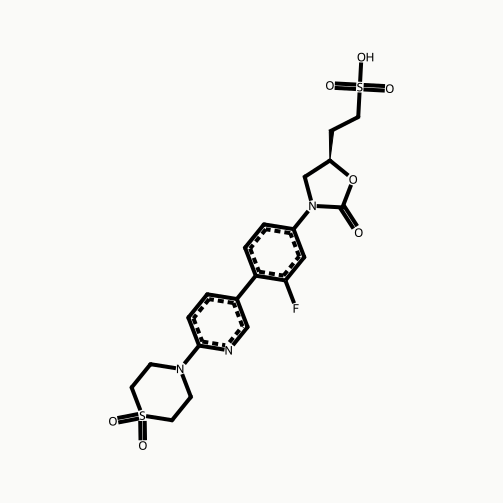 O=C1O[C@H](CCS(=O)(=O)O)CN1c1ccc(-c2ccc(N3CCS(=O)(=O)CC3)nc2)c(F)c1